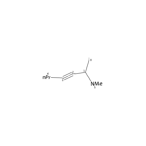 [CH2]C(C#CCCC)NC